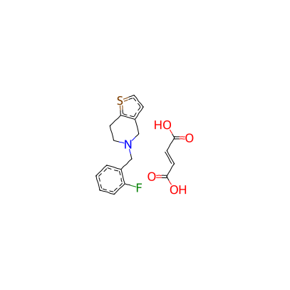 Fc1ccccc1CN1CCc2sccc2C1.O=C(O)C=CC(=O)O